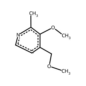 COCc1[c]cnc(C)c1OC